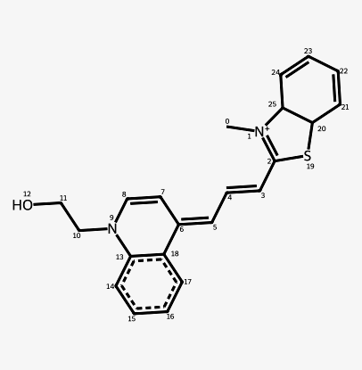 C[N+]1=C(C=CC=C2C=CN(CCO)c3ccccc32)SC2C=CC=CC21